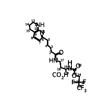 O=C(CCCCc1ccc2c(n1)NCCC2)NCCC(NC(=O)OCC(F)(F)C(F)(F)F)C(=O)O